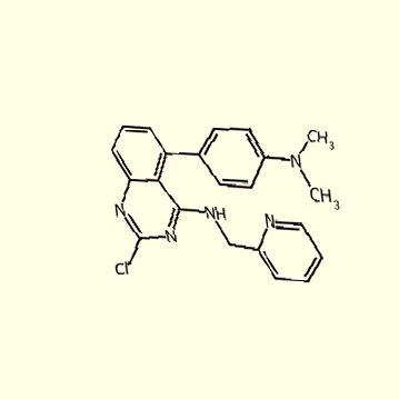 CN(C)c1ccc(-c2cccc3nc(Cl)nc(NCc4ccccn4)c23)cc1